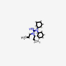 C=CCN(CC=C)C(=N)N(C1CCCCC1)C1CCCCC1